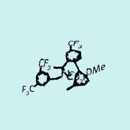 COc1ccc(C)cc1-c1ccc(C(F)(F)F)cc1C(C)N(Cc1cc(C(F)(F)F)cc(C(F)(F)F)c1)C(=O)O